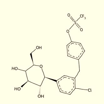 O=S(=O)(Oc1ccc(Cc2cc([C@@H]3O[C@H](CO)C(O)[C@H](O)[C@H]3O)ccc2Cl)cc1)C(F)(F)F